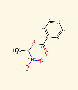 CC(OC(=O)c1ccccc1)[N+](=O)[O-]